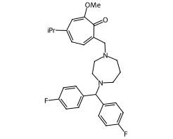 COc1cc(C(C)C)ccc(CN2CCCN(C(c3ccc(F)cc3)c3ccc(F)cc3)CC2)c1=O